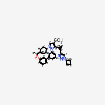 C[C@H](Oc1cccc(-c2cccc(-n3ncc(C(=O)O)c3C3CC3c3cn(C4CCC4)nn3)c2)c1)C1CCCCC1